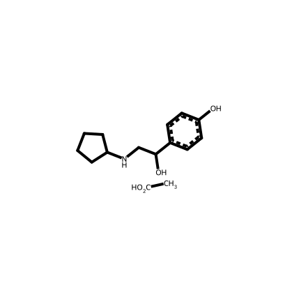 CC(=O)O.Oc1ccc(C(O)CNC2CCCC2)cc1